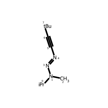 CC(C)N(C)N=NC#CC(C)(C)C